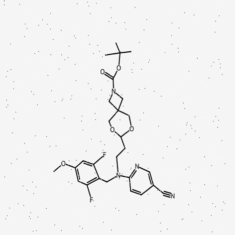 COc1cc(F)c(CN(CCC2OCC3(CO2)CN(C(=O)OC(C)(C)C)C3)c2ccc(C#N)cn2)c(F)c1